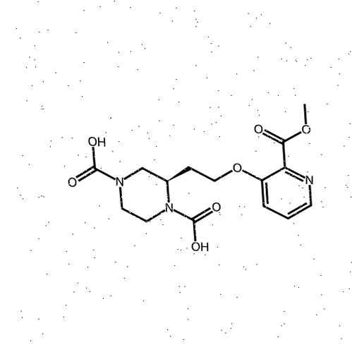 COC(=O)c1ncccc1OCC[C@@H]1CN(C(=O)O)CCN1C(=O)O